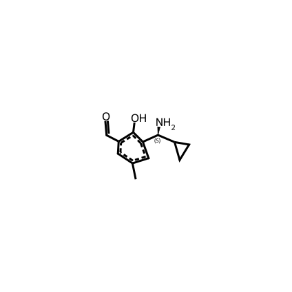 Cc1cc(C=O)c(O)c([C@@H](N)C2CC2)c1